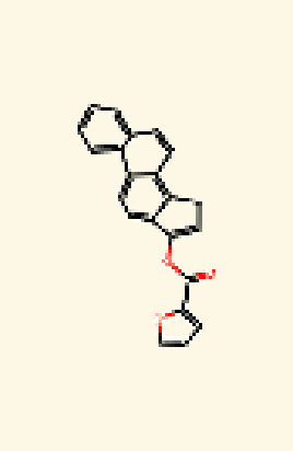 O=C(OC1=CCc2c1ccc1c2ccc2ccccc21)c1ccco1